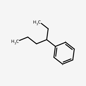 CCCC(CC)c1[c]cc[c]c1